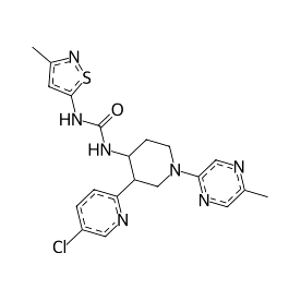 Cc1cnc(N2CCC(NC(=O)Nc3cc(C)ns3)C(c3ccc(Cl)cn3)C2)cn1